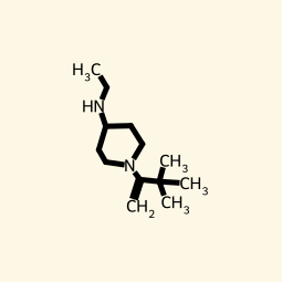 C=C(N1CCC(NCC)CC1)C(C)(C)C